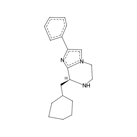 c1ccc(-c2cn3c(n2)[C@H](CC2CCCCC2)NCC3)cc1